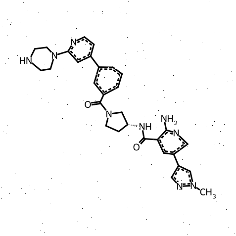 Cn1cc(-c2cnc(N)c(C(=O)N[C@@H]3CCN(C(=O)c4cccc(-c5ccnc(N6CCNCC6)c5)c4)C3)c2)cn1